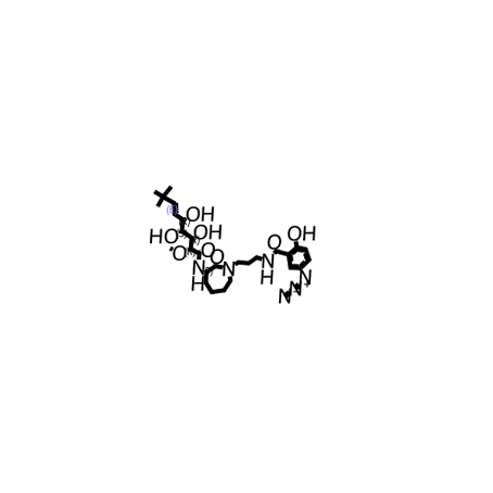 CO[C@@H](C(=O)N[C@H]1CCCCN(CCCNC(=O)c2cc(N=[N+]=[N-])ccc2O)C1=O)[C@H](O)[C@@H](O)[C@H](O)/C=C/C(C)(C)C